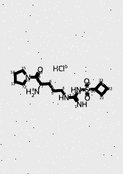 Cl.N=C(NCCC[C@H](N)C(=O)N1CCCC1)NS(=O)(=O)C1CCC1